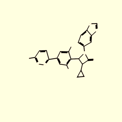 Cc1ccc(-c2cc(F)c(C3C(C4CC4)C(=O)N3c3ccc4[nH]cnc4c3)c(F)c2)nn1